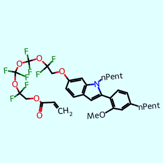 C=CC(=O)OCC(F)(F)OC(F)(F)OC(F)(F)OC(F)(F)COc1ccc2cc(-c3ccc(CCCCC)cc3OC)n(CCCCC)c2c1